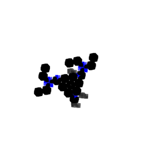 CC(C)(C)c1ccnc(-c2ccc(-c3ccccc3C3CC(c4ccc(C(C)(C)C)cc4-c4ccc(-c5ccc(-c6nc(-c7cccc(-c8ccccc8)c7)nc(-c7cccc(-c8ccccc8)c7)n6)cn5)cc4)CC(c4ccc(C(C)(C)C)cc4-c4ccc(-c5ccc(-c6nc(-c7cccc(-c8ccccc8)c7)nc(-c7cccc(-c8ccccc8)c7)n6)cn5)cc4)C3)cc2)c1